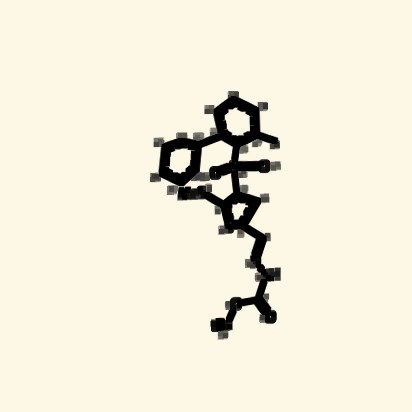 CSc1sc(C=NNC(=O)OC(C)(C)C)cc1S(=O)(=O)c1c(C)cccc1-c1ccccc1